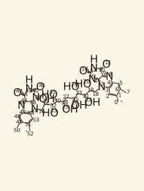 [CH2]c1cc2c(cc1C)nc1c(=O)[nH]c(=O)nc-1n2C[C@@H](O)[C@@H](O)[C@@H](O)C(O)CC(O)[C@H](O)[C@H](O)[C@H](O)Cn1c2nc(=O)[nH]c(=O)c-2nc2cc(C)c([CH2])cc21